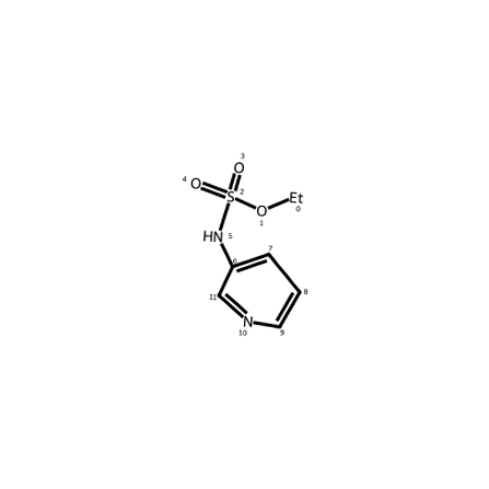 CCOS(=O)(=O)Nc1cccnc1